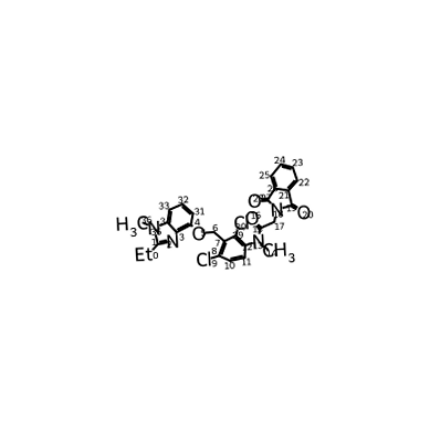 CCc1nc2c(OCc3c(Cl)ccc(N(C)C(=O)CN4C(=O)c5ccccc5C4=O)c3Cl)cccc2n1C